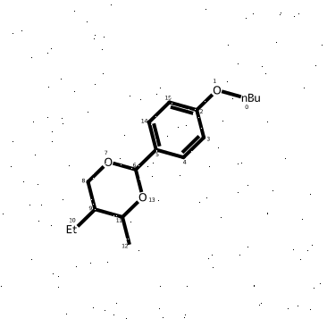 CCCCOc1ccc(C2OCC(CC)C(C)O2)cc1